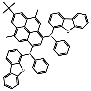 Cc1cc2c(N(c3ccccc3)c3cccc4c3oc3ccccc34)cc(N(c3ccccc3)c3cccc4c3oc3ccccc34)c3cc(C)c4cc(C(C)(C)C)cc1c4c23